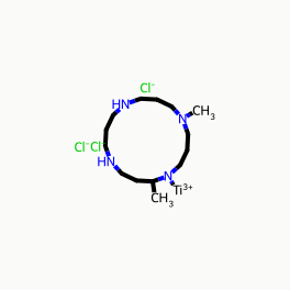 CC1CCNCCCNCCCN(C)CCC[N]1[Ti+3].[Cl-].[Cl-].[Cl-]